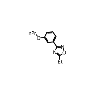 CCCOc1cccc(-c2noc(CC)n2)c1